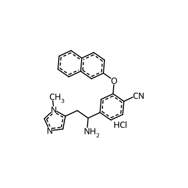 Cl.Cn1cncc1CC(N)c1ccc(C#N)c(Oc2ccc3ccccc3c2)c1